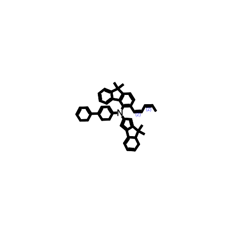 C/C=C\C=C/c1ccc2c(c1N(C1=C=C3C4=CC=CCC4C(C)(C)C3=C1)C1=CC=C(C3=CC=CCC3)CC1)-c1ccccc1C2(C)C